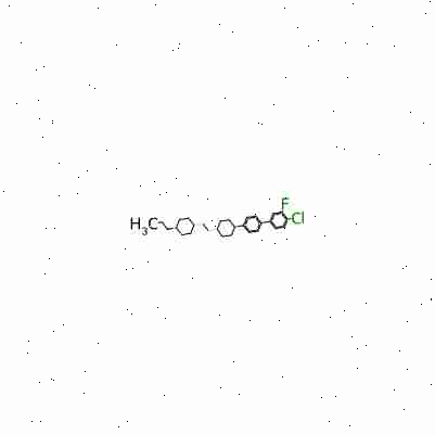 CCC[C@H]1CC[C@H](CC[C@H]2CC[C@H](c3ccc(-c4ccc(Cl)c(F)c4)cc3)CC2)CC1